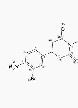 CN1C(=O)CC(c2ccc(N)c(Br)c2)CC1=O